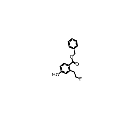 O=C(OCc1ccccc1)c1ccc(O)cc1CCF